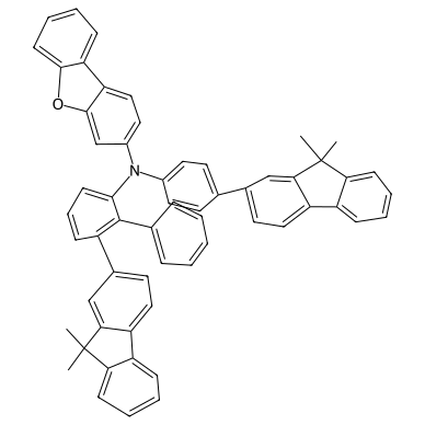 CC1(C)c2ccccc2-c2ccc(-c3ccc(N(c4ccc5c(c4)oc4ccccc45)c4cccc(-c5ccc6c(c5)C(C)(C)c5ccccc5-6)c4-c4ccccc4)cc3)cc21